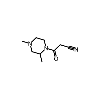 CC1CN(C)CCN1C(=O)CC#N